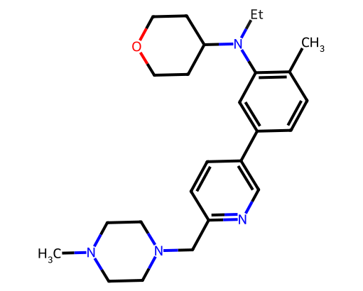 CCN(c1cc(-c2ccc(CN3CCN(C)CC3)nc2)ccc1C)C1CCOCC1